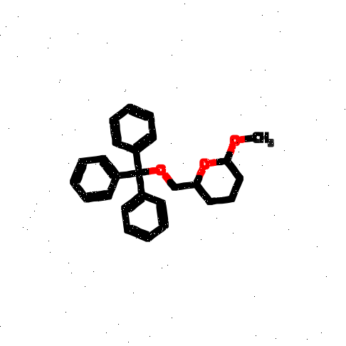 COC1CCCC(COC(c2ccccc2)(c2ccccc2)c2ccccc2)O1